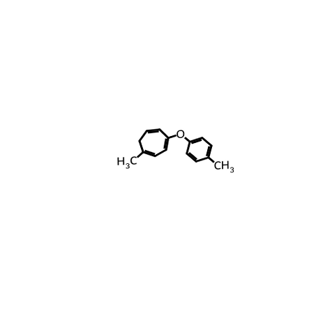 CC1=CC=C(Oc2ccc(C)cc2)C=CC1